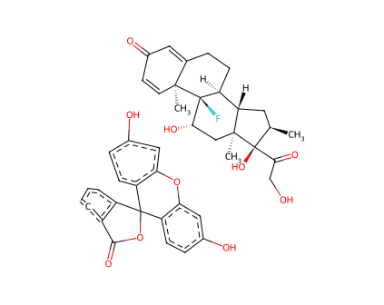 C[C@@H]1C[C@H]2[C@@H]3CCC4=CC(=O)C=C[C@]4(C)[C@@]3(F)[C@@H](O)C[C@]2(C)[C@@]1(O)C(=O)CO.O=C1OC2(c3ccc(O)cc3Oc3cc(O)ccc32)c2ccccc21